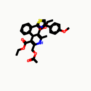 CCOC(=O)C1=C(C)NC(COC(C)=O)=C(C(=O)OCC)C1c1ccccc1-c1nc(-c2ccc(OC)cc2)cs1